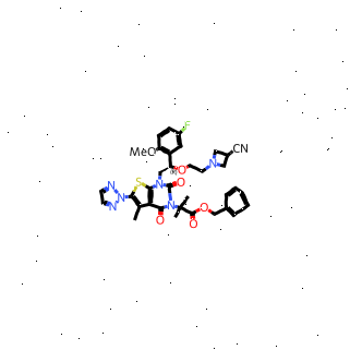 COc1ccc(F)cc1[C@H](Cn1c(=O)n(C(C)(C)C(=O)OCc2ccccc2)c(=O)c2c(C)c(-n3nccn3)sc21)OCCN1CC(C#N)C1